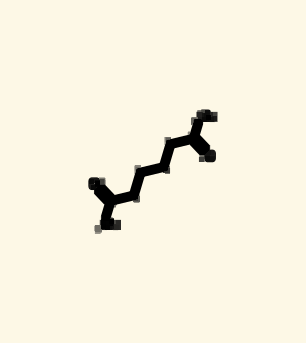 CC(C)(C)C(=O)CCCCC(=O)C(C)(C)C